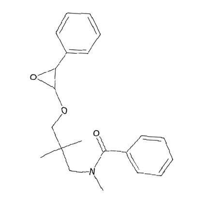 CN(CC(C)(C)COC1OC1c1ccccc1)C(=O)c1ccccc1